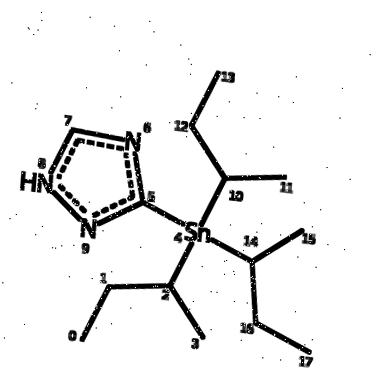 CC[CH](C)[Sn]([c]1nc[nH]n1)([CH](C)CC)[CH](C)CC